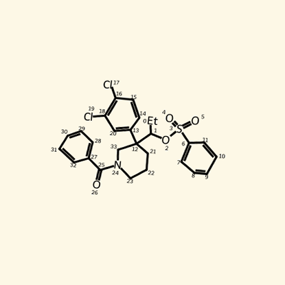 CCC(OS(=O)(=O)c1ccccc1)C1(c2ccc(Cl)c(Cl)c2)CCCN(C(=O)c2ccccc2)C1